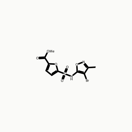 COC(=O)c1ccc(S(=O)(=O)Nc2onc(C)c2Br)o1